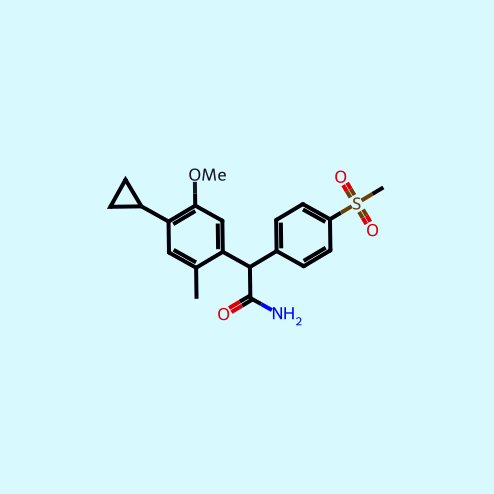 COc1cc(C(C(N)=O)c2ccc(S(C)(=O)=O)cc2)c(C)cc1C1CC1